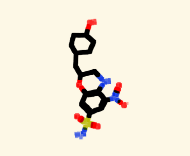 NS(=O)(=O)c1cc2c(c([N+](=O)[O-])c1)NCC(CC1CCC(O)CC1)O2